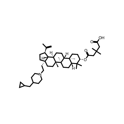 C=C(C)[C@@H]1CC[C@]2(CCN3CCC(CC4CC4)CC3)CC[C@]3(C)[C@H](CC[C@@H]4[C@@]5(C)CC[C@H](OC(=O)CC(C)(C)CC(=O)O)C(C)(C)[C@@H]5CC[C@]43C)[C@@H]12